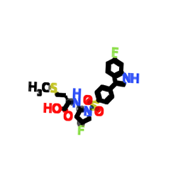 CSCC[C@H](N[C@@H]1C[C@H](F)CN1S(=O)(=O)c1ccc(-c2c[nH]c3cc(F)ccc23)cc1)C(=O)O